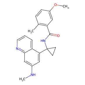 CNc1cc(C2(NC(=O)c3cc(OC)ccc3C)CC2)c2cccnc2c1